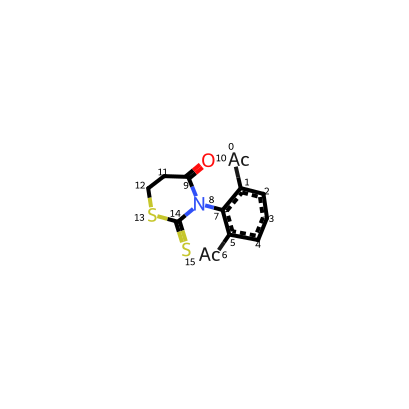 CC(=O)c1cccc(C(C)=O)c1N1C(=O)CCSC1=S